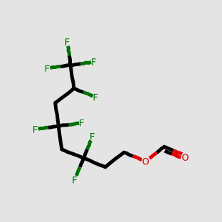 O=COCCC(F)(F)CC(F)(F)CC(F)C(F)(F)F